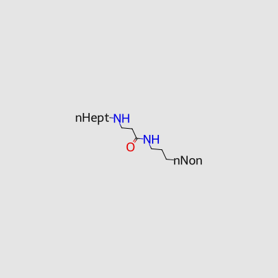 CCCCCCCCCCCCNC(=O)CCNCCCCCCC